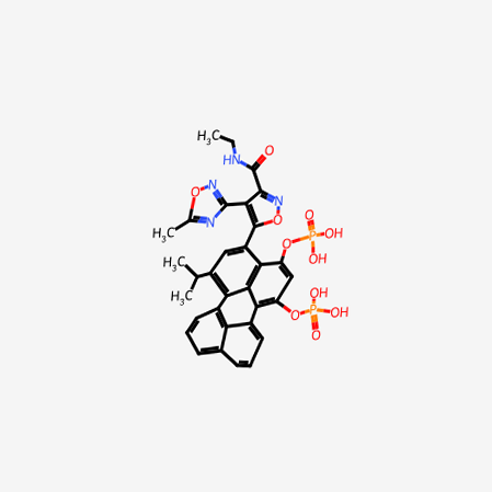 CCNC(=O)c1noc(-c2cc(C(C)C)c3c4cccc5cccc(c6c(OP(=O)(O)O)cc(OP(=O)(O)O)c2c63)c54)c1-c1noc(C)n1